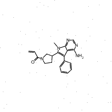 C=CC(=O)N1CCC(c2c(-c3ccccc3)c3c(N)ncnc3n2C)C1